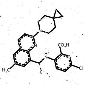 Cc1cc([C@@H](C)Nc2ccc(Cl)nc2C(=O)O)c2nc(N3CCC4(CC3)CC4)ccc2c1